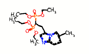 CCOP(=O)(OCC)C(Cc1cnc2ccc(C)cn12)P(=O)(OCC)OCC